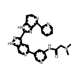 CN(C)CC(=O)Nc1cncc(-c2cc3c(-c4nc5c(-c6ccccn6)nccc5[nH]4)n[nH]c3cn2)c1